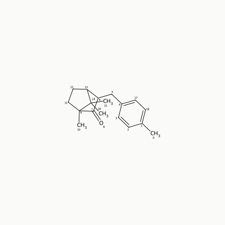 Cc1ccc(CC2C(=O)C3(C)CCC2C3(C)C)cc1